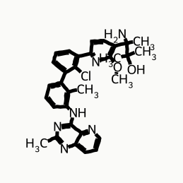 COc1nc(-c2cccc(-c3cccc(Nc4nc(C)nc5cccnc45)c3C)c2Cl)ccc1C(C)(N)C(C)(C)O